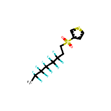 O=S(=O)(CCC(F)(F)C(F)(F)C(F)(F)C(F)(F)C(F)(F)C(F)(F)F)c1ccsc1